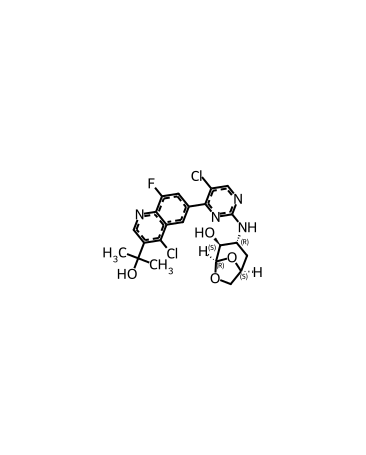 CC(C)(O)c1cnc2c(F)cc(-c3nc(N[C@@H]4C[C@H]5CO[C@H](O5)[C@H]4O)ncc3Cl)cc2c1Cl